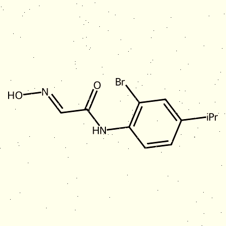 CC(C)c1ccc(NC(=O)C=NO)c(Br)c1